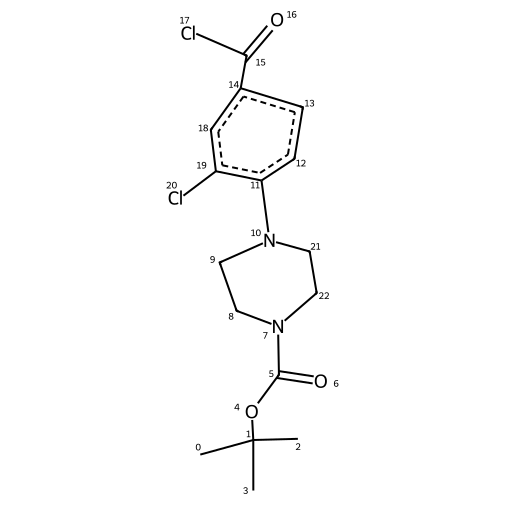 CC(C)(C)OC(=O)N1CCN(c2ccc(C(=O)Cl)cc2Cl)CC1